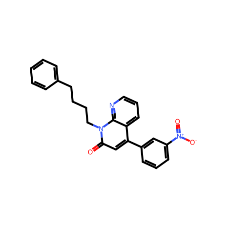 O=c1cc(-c2cccc([N+](=O)[O-])c2)c2cccnc2n1CCCCc1ccccc1